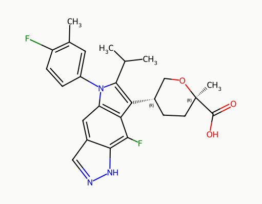 Cc1cc(-n2c(C(C)C)c([C@H]3CC[C@](C)(C(=O)O)OC3)c3c(F)c4[nH]ncc4cc32)ccc1F